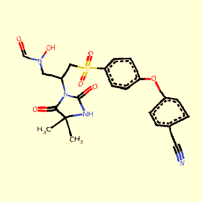 CC1(C)NC(=O)N(C(CN(O)C=O)CS(=O)(=O)c2ccc(Oc3ccc(C#N)cc3)cc2)C1=O